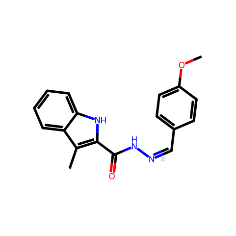 COc1ccc(/C=N\NC(=O)c2[nH]c3ccccc3c2C)cc1